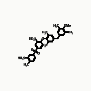 COc1c(C)cc(Cc2cc(C)c(Oc3ccc(S(=O)(=O)c4ccc(C)c(S(=O)(=O)O)c4)cc3S(=O)(=O)O)c(C)c2)cc1C